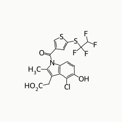 Cc1c(CC(=O)O)c2c(Cl)c(O)ccc2n1C(=O)c1csc(SC(F)(F)C(F)F)c1